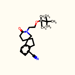 CC(C)(C)[Si](C)(C)OCCN1CC2(CCC1=O)CCc1c(C#N)cccc12